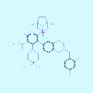 Cc1cc(F)ccc1CN1CCc2cc(-c3c(CN4[C@@H]5CC[C@H]4CN(C)C5)nc(C)c([C@H](OC(C)(C)C)C(=O)O)c3N3CCC(C)(C)CC3)ccc2C1